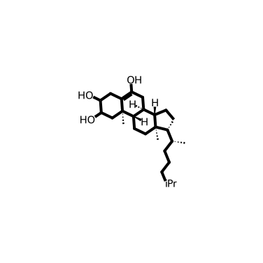 CC(C)CCC[C@@H](C)[C@H]1CC[C@H]2[C@@H]3CC(O)=C4CC(O)C(O)C[C@]4(C)[C@H]3CC[C@]12C